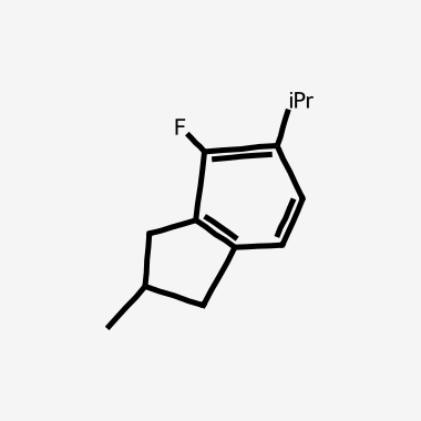 CC1Cc2ccc(C(C)C)c(F)c2C1